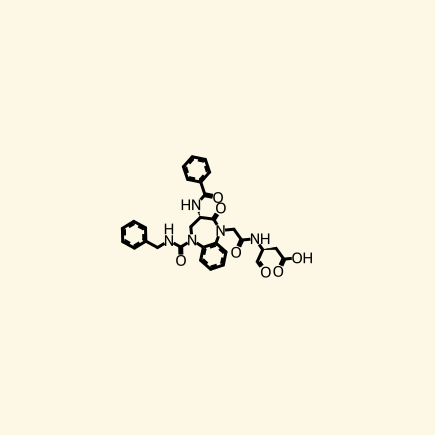 O=C[C@H](CC(=O)O)NC(=O)CN1C(=O)[C@@H](NC(=O)c2ccccc2)CN(C(=O)NCc2ccccc2)c2ccccc21